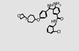 N=C(c1ccc(OC2CCN(C3COC3)CC2)cc1)c1cc(C(=O)NCc2ccccc2Cl)ccc1N